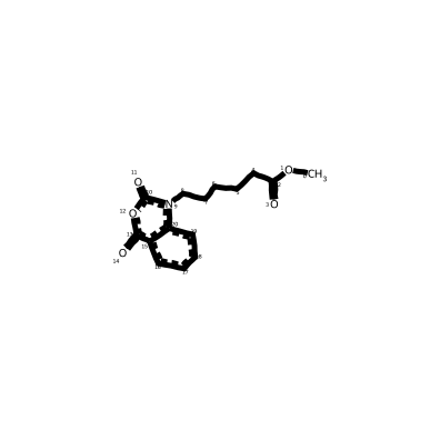 COC(=O)CCCCCn1c(=O)oc(=O)c2ccccc21